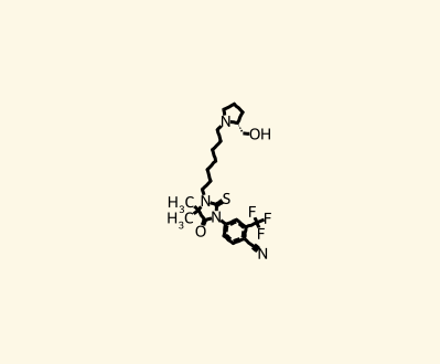 CC1(C)C(=O)N(c2ccc(C#N)c(C(F)(F)F)c2)C(=S)N1CCCCCCCN1CCC[C@@H]1CO